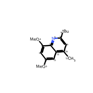 COc1cc(OC)c2nc(C(C)(C)C)cc(C)c2c1